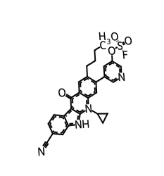 CCCCc1cc2c(=O)c3c4ccc(C#N)cc4[nH]c3n(C3CC3)c2cc1-c1cncc(OS(=O)(=O)F)c1